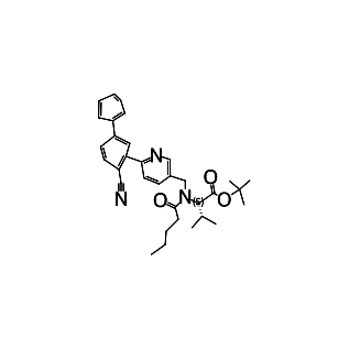 CCCCC(=O)N(Cc1ccc(-c2cc(-c3ccccc3)ccc2C#N)nc1)[C@H](C(=O)OC(C)(C)C)C(C)C